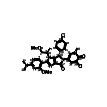 COC[C@@H](C)n1c(-c2cnc(N(C)C)nc2OC)nc2c1[C@H](c1ccc(Cl)cc1)N(c1cc(Cl)c(=O)n(C)c1)C2=O